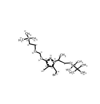 CC(CO[Si](C)(C)C(C)(C)C)n1nc(OCOCC[Si](C)(C)C)c(I)c1CBr